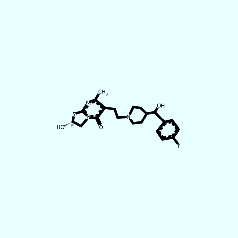 Cc1nc2n(c(=O)c1CCN1CCC(C(O)c3ccc(F)cc3)CC1)C[C@H](O)S2